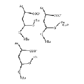 CCCCOC(CC(C(C)=O)C(=O)[O-])OCCCC.CCCCOC(CC(C(C)=O)C(=O)[O-])OCCCC.CCCCOC(CC(C(C)=O)C(=O)[O-])OCCCC.[Ga+3]